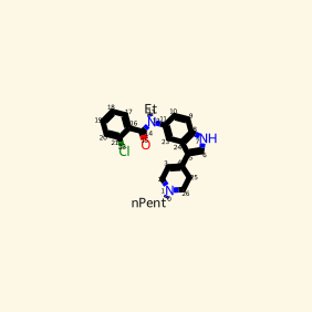 CCCCCN1CC=C(c2c[nH]c3ccc(N(CC)C(=O)c4ccccc4Cl)cc23)CC1